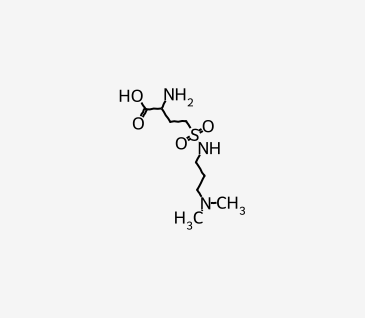 CN(C)CCCNS(=O)(=O)CCC(N)C(=O)O